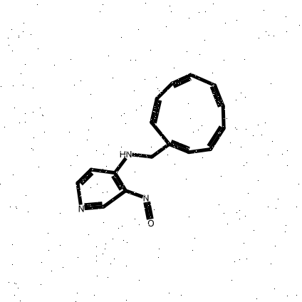 O=Nc1cnccc1NCc1ccccccccc1